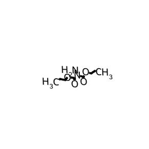 CCCOC(=O)N(N)C(=O)OCCC